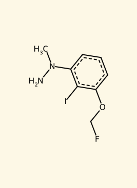 CN(N)c1cccc(OCF)c1I